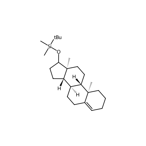 CC(C)(C)[Si](C)(C)OC1CC[C@H]2[C@@H]3CCC4=CCCC[C@]4(C)[C@H]3CC[C@]12C